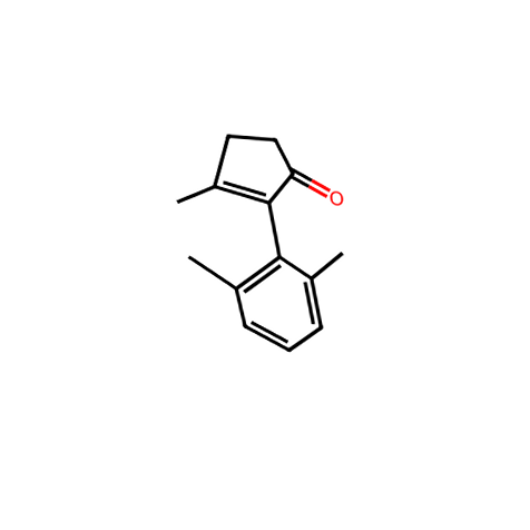 CC1=C(c2c(C)cccc2C)C(=O)CC1